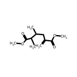 C=C(CC(C)C(C)C(=O)OC)C(=O)OC